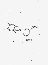 COc1[c]c(OC)cc(OC)c1.Cc1[c]c(C)c(C)cc1C